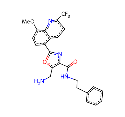 COc1ccc(-c2nc(C(=O)NCCc3ccccc3)c(CN)o2)c2ccc(C(F)(F)F)nc12